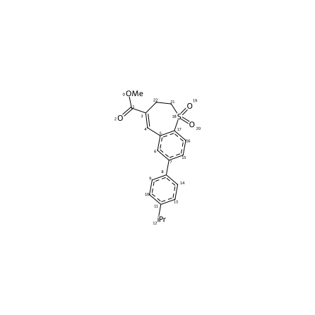 COC(=O)C1=Cc2cc(-c3ccc(C(C)C)cc3)ccc2S(=O)(=O)CC1